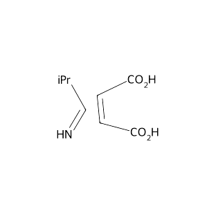 CC(C)C=N.O=C(O)/C=C\C(=O)O